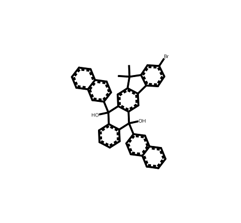 CC1(C)c2cc(Br)ccc2-c2cc3c(cc21)C(O)(c1ccc2ccccc2c1)c1ccccc1C3(O)c1ccc2ccccc2c1